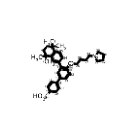 CC1(C)CCC(C)(C)c2cc(-c3cc(-c4ccc(C(=O)O)cc4)ccc3OCCCCN3CCCC3)ccc21